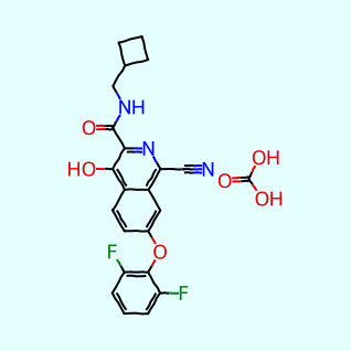 N#Cc1nc(C(=O)NCC2CCC2)c(O)c2ccc(Oc3c(F)cccc3F)cc12.O=C(O)O